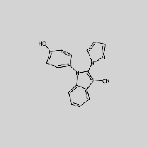 N#Cc1c(-n2cccn2)n(-c2ccc(O)cc2)c2ccccc12